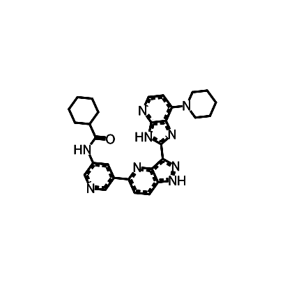 O=C(Nc1cncc(-c2ccc3[nH]nc(-c4nc5c(N6CCCCC6)ccnc5[nH]4)c3n2)c1)C1CCCCC1